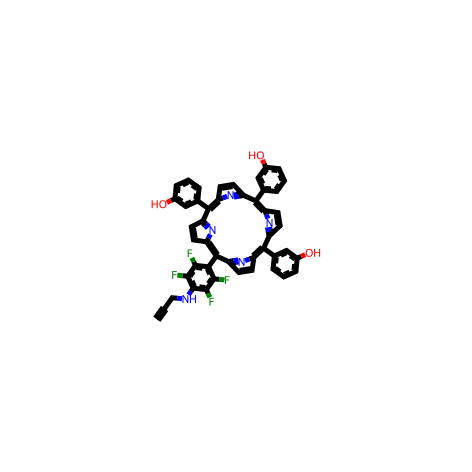 C#CCNc1c(F)c(F)c(C2=C3C=CC(=N3)C(c3cccc(O)c3)=C3C=CC(=N3)C(c3cccc(O)c3)=C3C=CC(=N3)C(c3cccc(O)c3)=C3C=CC2=N3)c(F)c1F